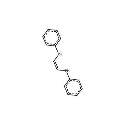 C(=C/Pc1ccccc1)/Pc1ccccc1